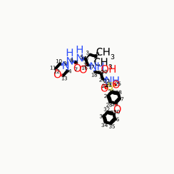 CC(C)C[C@H](NC(=O)NN1CCOCC1)C(=O)NCC(O)CNS(=O)(=O)c1ccc(Oc2ccccc2)cc1